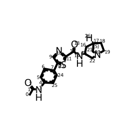 CC(=O)Nc1ccc(-c2cnc(C(=O)N[C@@H]3C[C@@H]4CCN(C4)C3)s2)cc1